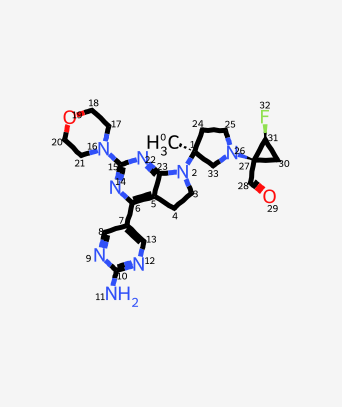 C[C@]1(N2CCc3c(-c4cnc(N)nc4)nc(N4CCOCC4)nc32)CCN([C@]2(C=O)C[C@@H]2F)C1